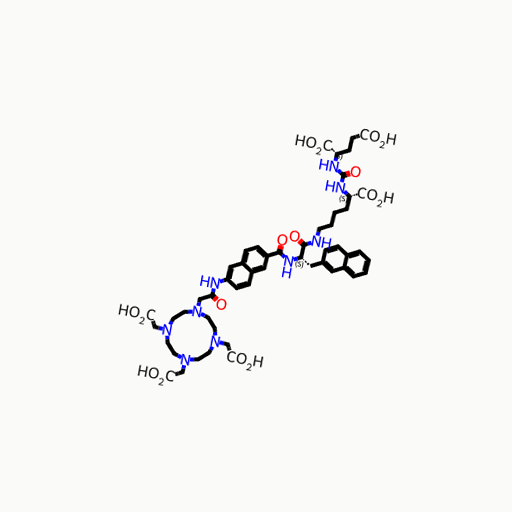 O=C(O)CC[C@H](NC(=O)N[C@@H](CCCCNC(=O)[C@H](Cc1ccc2ccccc2c1)NC(=O)c1ccc2cc(NC(=O)CN3CCN(CC(=O)O)CCN(CC(=O)O)CCN(CC(=O)O)CC3)ccc2c1)C(=O)O)C(=O)O